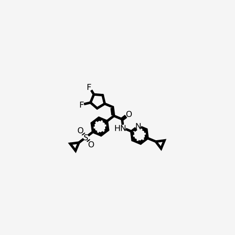 O=C(Nc1ccc(C2CC2)cn1)/C(=C/C1CC(F)C(F)C1)c1ccc(S(=O)(=O)C2CC2)cc1